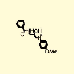 COc1ccc(N(C)CC(O)CNC(=O)c2ccccc2)cc1